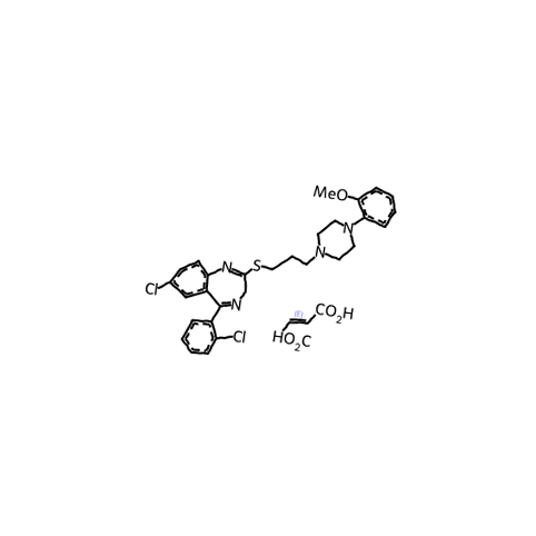 COc1ccccc1N1CCN(CCCSC2=Nc3ccc(Cl)cc3C(c3ccccc3Cl)=NC2)CC1.O=C(O)/C=C/C(=O)O